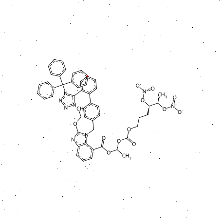 CCOc1nc2cccc(C(=O)OC(C)OC(=O)OCCC[C@@H](O[N+](=O)[O-])[C@@H](C)O[N+](=O)[O-])c2n1Cc1ccc(-c2ccccc2-c2nnnn2C(c2ccccc2)(c2ccccc2)c2ccccc2)cc1